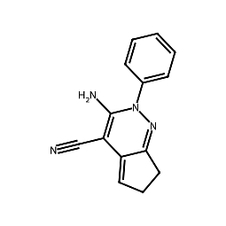 N#CC1=C(N)N(c2ccccc2)N=C2CCC=C21